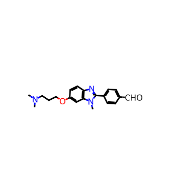 CN(C)CCCOc1ccc2nc(-c3ccc(C=O)cc3)n(C)c2c1